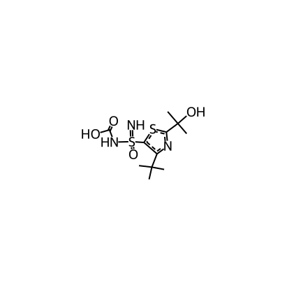 CC(C)(C)c1nc(C(C)(C)O)sc1S(=N)(=O)NC(=O)O